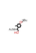 CC[C@H](C)COc1ccc([C@H](CO)NC(C)=O)c(C)c1